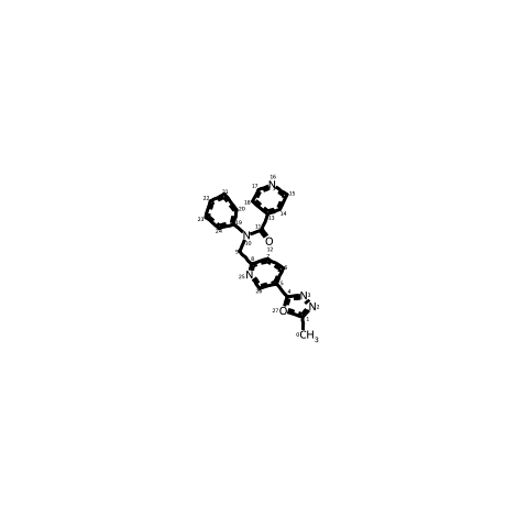 Cc1nnc(-c2ccc(CN(C(=O)c3ccncc3)c3ccccc3)nc2)o1